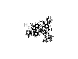 CCc1cc(C(Nc2ccc3c(N)nccc3c2)c2nc(-c3ccccc3)cn2CC(=O)N(C)C)c(F)c(N2CCOCC2)c1.O=C(O)C(F)(F)F.O=C(O)C(F)(F)F